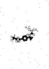 CON(C)C(=O)NC1(c2ccc(-c3noc(C(F)(F)Cl)n3)cc2)CC1